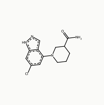 NC(=O)C1CCCN(c2cc(Cl)cc3[nH]ncc23)C1